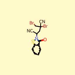 N#CC(CC(Br)(C#N)CBr)n1sc2ccccc2c1=O